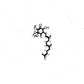 COC1=C(Cl)C(O)C(C/C=C(\C)CC/C=C(\C)CCC=C(C)C)C(C)C1(OC)OC